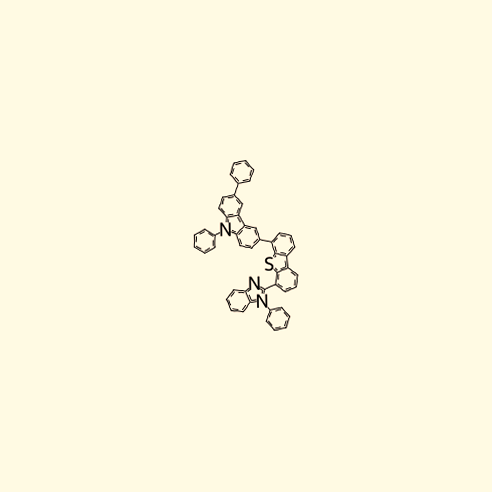 c1ccc(-c2ccc3c(c2)c2cc(-c4cccc5c4sc4c(-c6nc7ccccc7n6-c6ccccc6)cccc45)ccc2n3-c2ccccc2)cc1